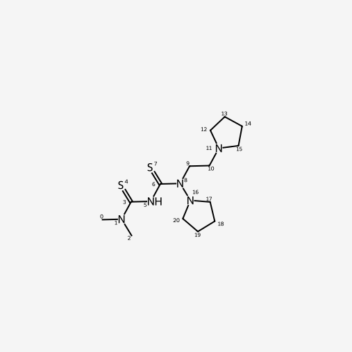 CN(C)C(=S)NC(=S)N(CCN1CCCC1)N1CCCC1